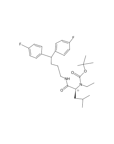 CCN(C(=O)OC(C)(C)C)[C@@H](CC(C)C)C(=O)NCCCC(c1ccc(F)cc1)c1ccc(F)cc1